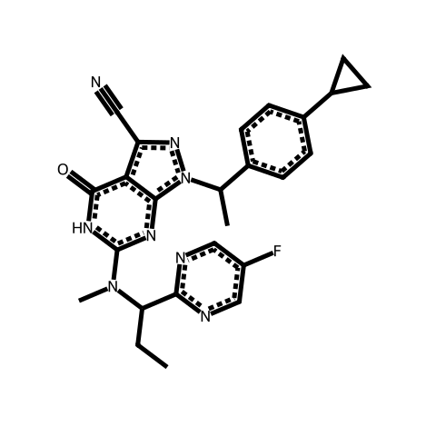 CCC(c1ncc(F)cn1)N(C)c1nc2c(c(C#N)nn2C(C)c2ccc(C3CC3)cc2)c(=O)[nH]1